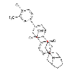 COC(=O)c1cnc(N2C3CCC2CN(CC(=O)N2CC=C(c4ccc(Cl)c(C(F)(F)F)c4)CC2)C3)nc1